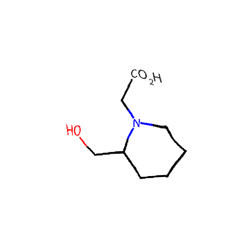 O=C(O)CN1CCCCC1CO